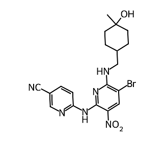 CC1(O)CCC(CNc2nc(Nc3ccc(C#N)cn3)c([N+](=O)[O-])cc2Br)CC1